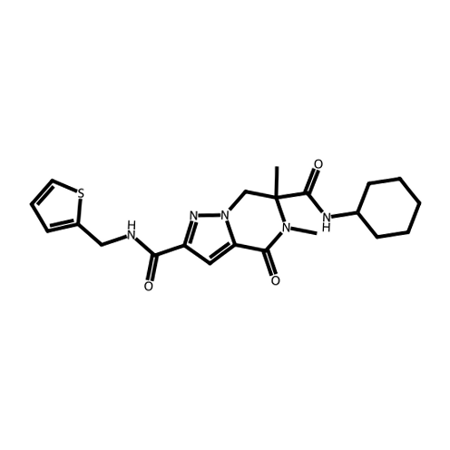 CN1C(=O)c2cc(C(=O)NCc3cccs3)nn2CC1(C)C(=O)NC1CCCCC1